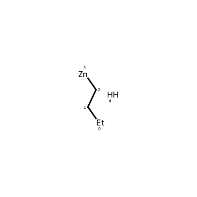 CCC[CH2][Zn].[HH]